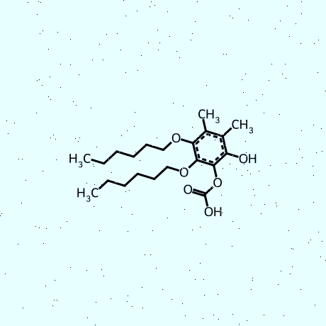 CCCCCCOc1c(C)c(C)c(O)c(OC(=O)O)c1OCCCCCC